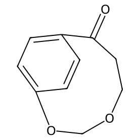 O=C1CCOCOc2ccc1cc2